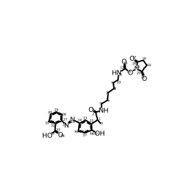 CC(C(=O)NCCCCCCNC(=O)ON1C(=O)CCC1=O)c1cc(/N=N/c2ccccc2C(=O)O)ccc1O